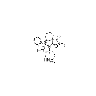 C[C@@H]1CC[C@H](N(C(=O)C2(C(N)=O)CCCCC2)S(=O)(=O)c2ccccn2)[C@@H](O)CN1